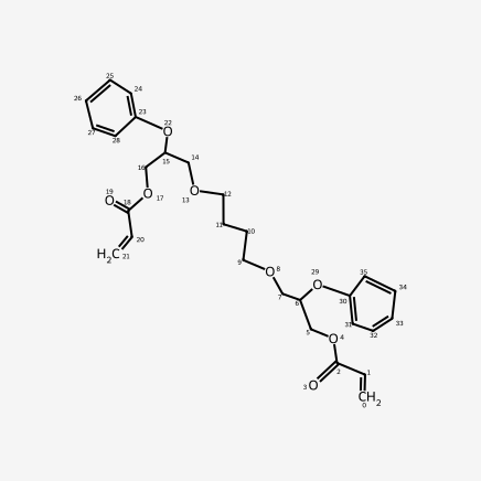 C=CC(=O)OCC(COCCCCOCC(COC(=O)C=C)Oc1ccccc1)Oc1ccccc1